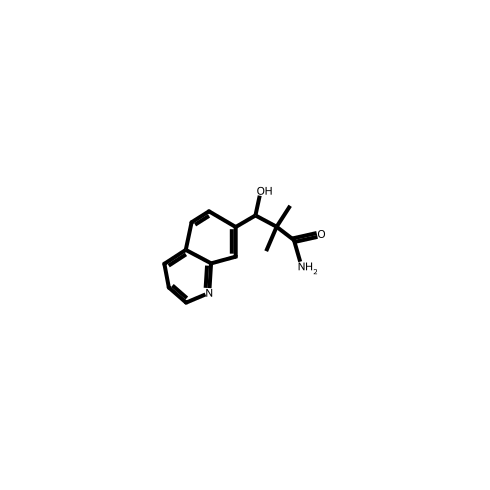 CC(C)(C(N)=O)C(O)c1ccc2cccnc2c1